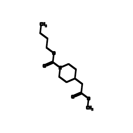 CCCCOC(=O)N1CCC(CC(=O)OC)CC1